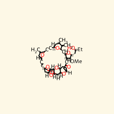 C=C1C[C@@H]2CC[C@@]34C[C@H]5O[C@H]6[C@@H](O3)[C@H]3O[C@H](CC[C@@H]3O[C@H]6[C@H]5O4)CC(=O)C[C@@H]3[C@@H](OC)[C@@H](C[C@H](O)CC)O[C@H]3CC3O[C@@H](CCC1O2)C[C@@H](C)C3=C